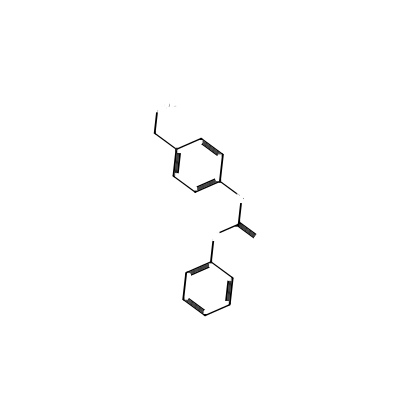 COCc1ccc(NC(=O)Oc2ccccc2)cc1